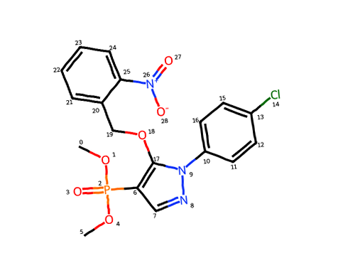 COP(=O)(OC)c1cnn(-c2ccc(Cl)cc2)c1OCc1ccccc1[N+](=O)[O-]